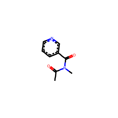 CC(=O)N(C)C(=O)c1cccnc1